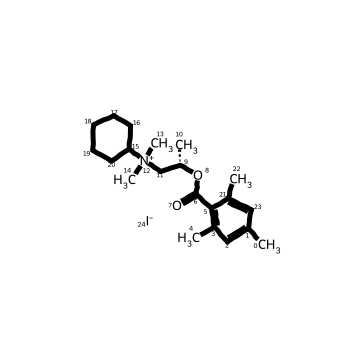 Cc1cc(C)c(C(=O)O[C@@H](C)C[N+](C)(C)C2CCCCC2)c(C)c1.[I-]